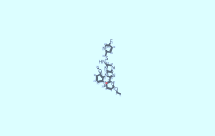 CCOc1cccc(-c2nc3ncc(NSCc4ccc(F)cn4)nc3n2-c2c(OC)cccc2OC)n1